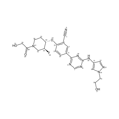 N#Cc1cc(-c2ncnc(Nc3cnn(CCO)c3)n2)ccc1O[C@H]1CCN(C(=O)CO)C[C@@H]1F